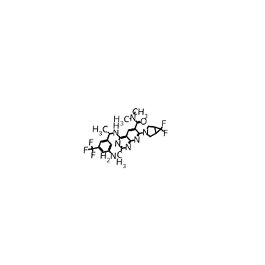 Cc1nc(N[C@H](C)c2cc(N)cc(C(F)(F)F)c2)c2cc(C(=O)N(C)C)c(N3CC4C(C3)C4(F)F)nc2n1